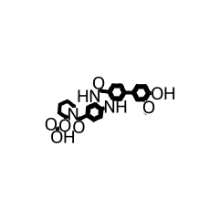 COc1cc(-c2ccc3c(c2)Nc2ccc(C(=O)N4CCCCC4OC(=O)O)cc2NC3=O)ccc1O